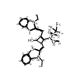 CCN1/C(=C/C2C(O)C(/C=C3\Sc4ccccc4N3CC)C2N(OC)S(=O)(=O)C(F)(F)F)Sc2ccccc21